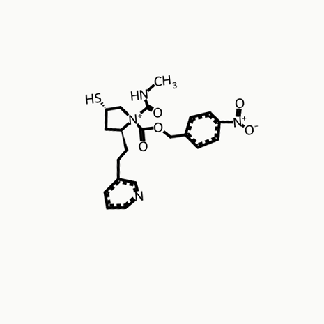 CNC(=O)[N+]1(C(=O)OCc2ccc([N+](=O)[O-])cc2)C[C@@H](S)C[C@@H]1CCc1cccnc1